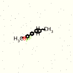 CCCC1CC[C@@H]2C[C@H](c3ccc(-c4ccc(OCC)c(F)c4F)cc3)CC[C@@H]2C1